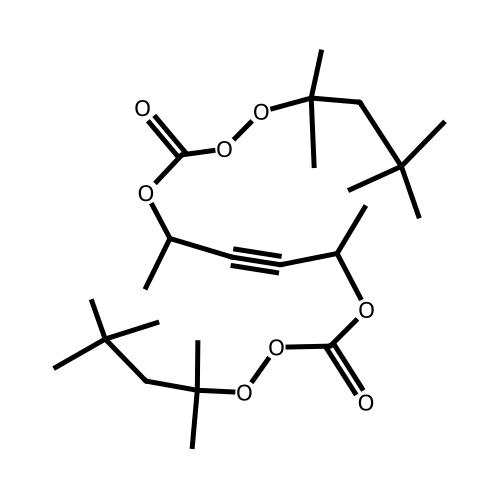 CC(C#CC(C)OC(=O)OOC(C)(C)CC(C)(C)C)OC(=O)OOC(C)(C)CC(C)(C)C